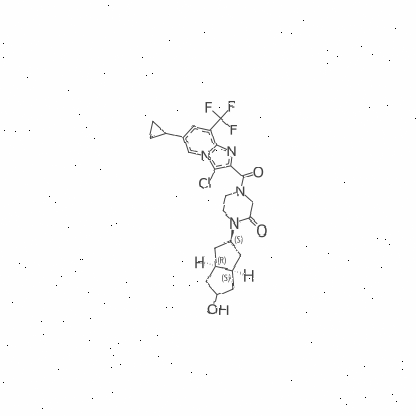 O=C(c1nc2c(C(F)(F)F)cc(C3CC3)cn2c1Cl)N1CCN([C@H]2C[C@H]3CC(O)C[C@H]3C2)C(=O)C1